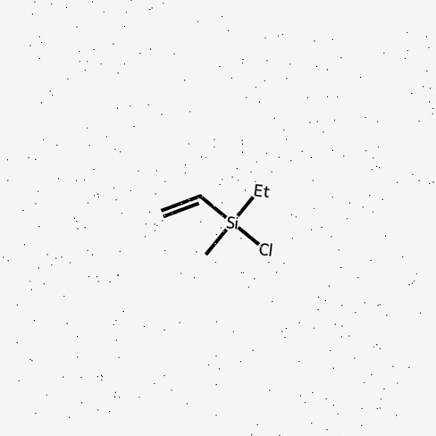 C=C[Si](C)(Cl)CC